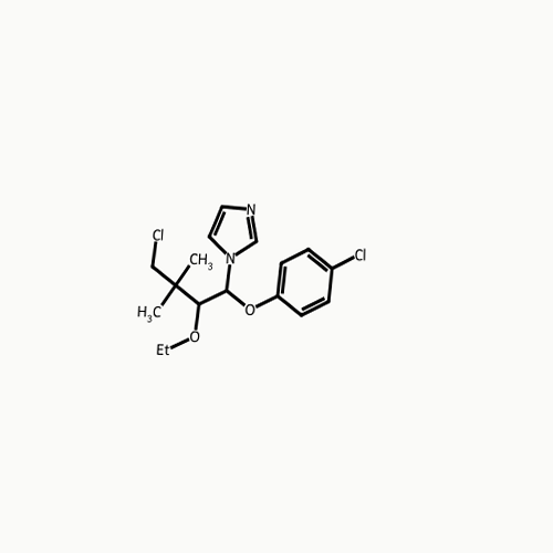 CCOC(C(Oc1ccc(Cl)cc1)n1ccnc1)C(C)(C)CCl